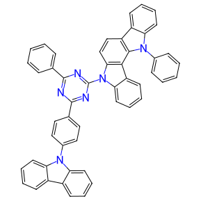 c1ccc(-c2nc(-c3ccc(-n4c5ccccc5c5ccccc54)cc3)nc(-n3c4ccccc4c4c3ccc3c5ccccc5n(-c5ccccc5)c34)n2)cc1